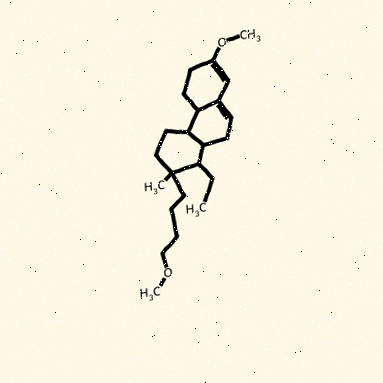 CCC1C2CC=C3C=C(OC)CCC3C2CCC1(C)CCCCOC